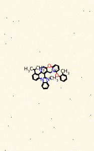 Cc1ccccc1Oc1cccc2[n+]1Cc1c(cnc3c4c(C(C)C)cccc4n4c5ccccc5[n+](C)c4c13)O2